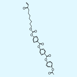 C=CC(=O)CCCCCCCOC(=O)Oc1ccc(C(=O)Oc2ccc(C(=O)Oc3ccc(OC(C)=O)cc3)cc2)cc1